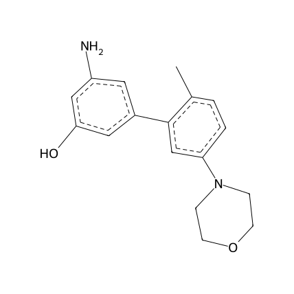 Cc1ccc(N2CCOCC2)cc1-c1cc(N)cc(O)c1